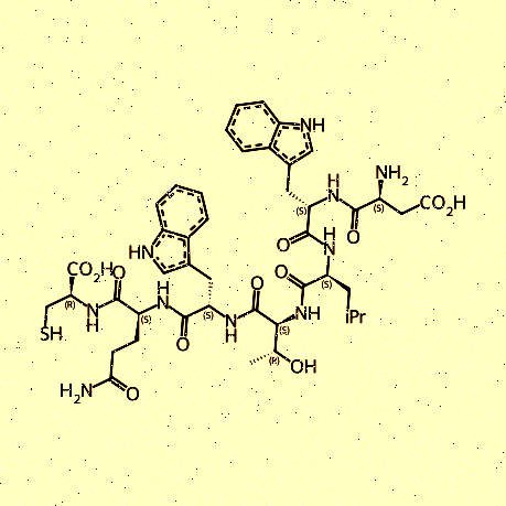 CC(C)C[C@H](NC(=O)[C@H](Cc1c[nH]c2ccccc12)NC(=O)[C@@H](N)CC(=O)O)C(=O)N[C@H](C(=O)N[C@@H](Cc1c[nH]c2ccccc12)C(=O)N[C@@H](CCC(N)=O)C(=O)N[C@@H](CS)C(=O)O)[C@@H](C)O